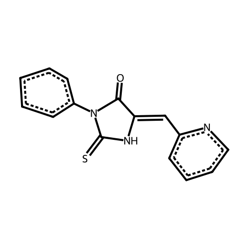 O=C1/C(=C/c2ccccn2)NC(=S)N1c1ccccc1